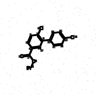 CC(C)OC(=O)c1ccc(Cl)c(-c2ccc(Cl)cc2)n1